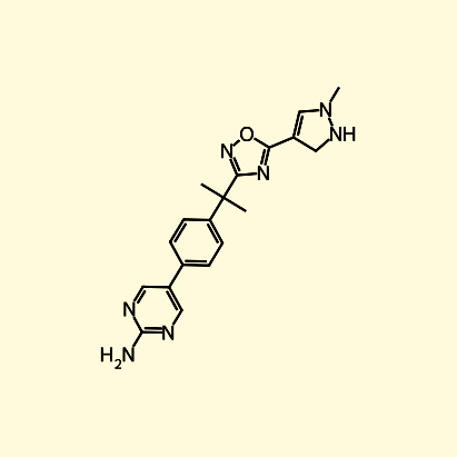 CN1C=C(c2nc(C(C)(C)c3ccc(-c4cnc(N)nc4)cc3)no2)CN1